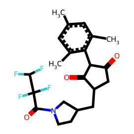 Cc1cc(C)c(C2C(=O)CC(CC3CCN(C(=O)C(F)(F)C(F)F)C3)C2=O)c(C)c1